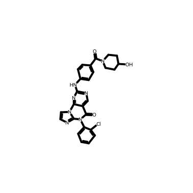 O=C(c1ccc(Nc2ncc3c(=O)n(-c4ccccc4Cl)c4nccn4c3n2)cc1)N1CCC(O)CC1